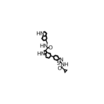 O=C(NCc1ccc2[nH]ccc2c1)c1c[nH]c2ccc(-c3ccc4nc(NC(=O)C5CC5)sc4c3)cc12